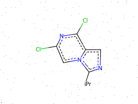 CC(C)c1ncc2c(Cl)nc(Cl)cn12